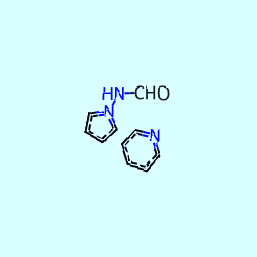 O=CNn1cccc1.c1ccncc1